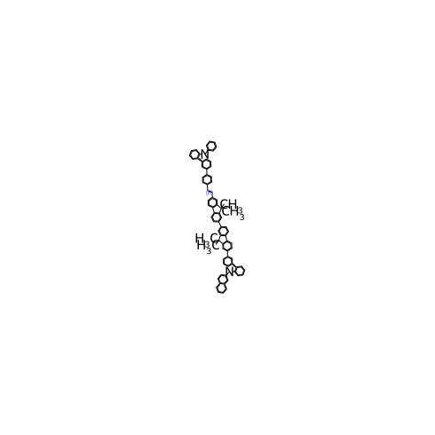 CC1(C)c2cc(/C=C/c3ccc(-c4ccc5c(c4)c4ccccc4n5-c4ccccc4)cc3)ccc2-c2ccc(-c3ccc4c(c3)C(C)(C)c3cc(-c5ccc6c(c5)c5ccccc5n6-c5ccc6ccccc6c5)ccc3-4)cc21